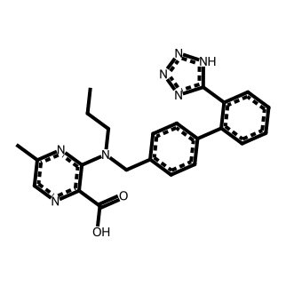 CCCN(Cc1ccc(-c2ccccc2-c2nnn[nH]2)cc1)c1nc(C)cnc1C(=O)O